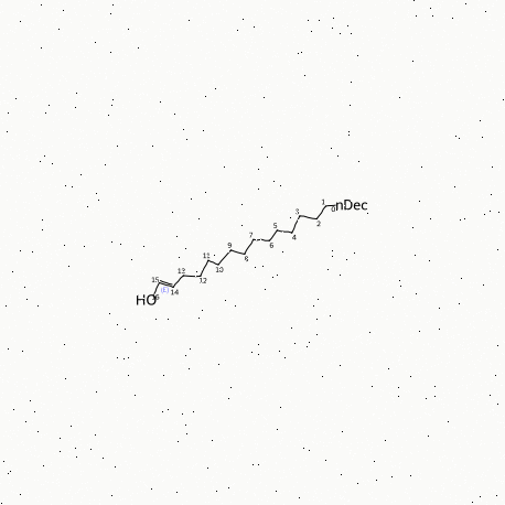 CCCCCCCCCCCCCCCCCCCCCCC/C=C/O